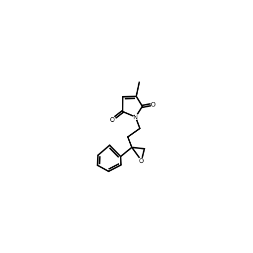 CC1=CC(=O)N(CCC2(c3ccccc3)CO2)C1=O